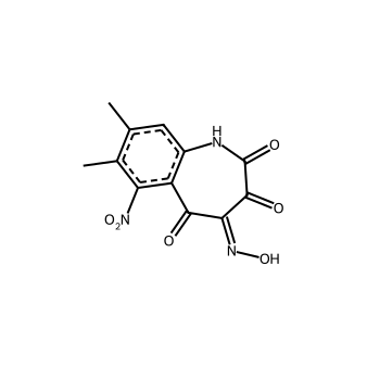 Cc1cc2c(c([N+](=O)[O-])c1C)C(=O)/C(=N/O)C(=O)C(=O)N2